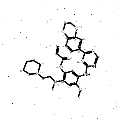 C=CC(=O)Nc1cc(Nc2ncnc(-c3ccc4c(c3)OCCO4)n2)c(OC)cc1N(C)CCN1CCCCC1